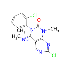 C/N=c1/c2cnc(Cl)nc2n(C)c(=O)n1-c1c(C)cccc1Cl